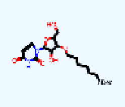 CCCCCCCCCCCCCCCCOC1C(CO)OC(n2ccc(=O)[nH]c2=O)C1O